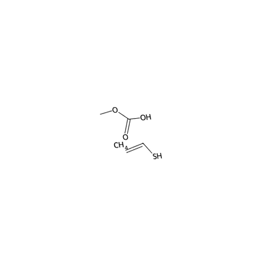 C.C=CS.COC(=O)O